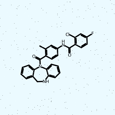 Cc1cc(NC(=O)c2ccc(F)cc2Cl)ccc1C(=O)N1c2ccccc2CNc2ccccc21